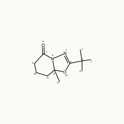 CC(C)(C)C1=NN2C(=O)CCCC2(C)O1